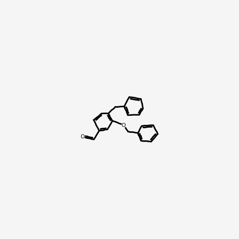 O=Cc1ccc(Cc2ccccc2)c(OCc2ccccc2)c1